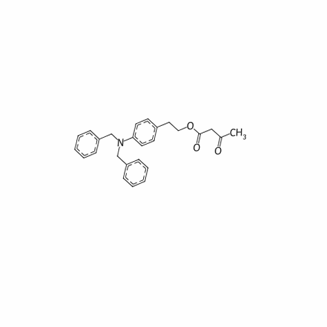 CC(=O)CC(=O)OCCc1ccc(N(Cc2ccccc2)Cc2ccccc2)cc1